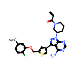 C=CC(=O)N1CCC[C@@H](n2nc(-c3csc(COc4cc(OC)ccc4Cl)c3)c3c(N)ncnc32)C1